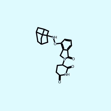 O=C1CCC(N2Cc3c(ONC45CC6CC7CC(C4)C75C6)cccc3C2=O)C(=O)N1